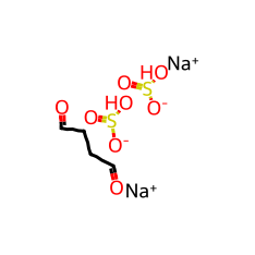 O=CCCC=O.O=S([O-])O.O=S([O-])O.[Na+].[Na+]